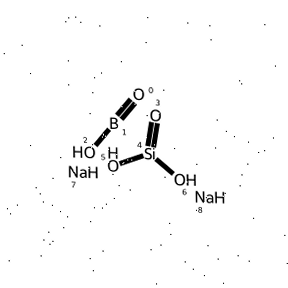 O=BO.O=[Si](O)O.[NaH].[NaH]